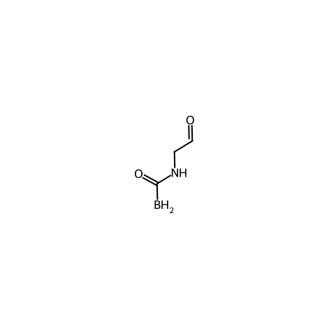 BC(=O)NCC=O